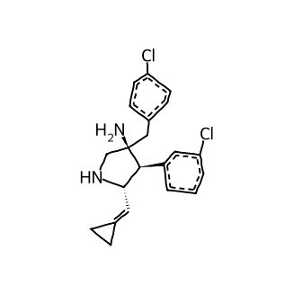 N[C@]1(Cc2ccc(Cl)cc2)CN[C@@H](C=C2CC2)[C@@H]1c1cccc(Cl)c1